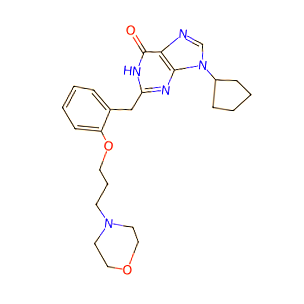 O=c1[nH]c(Cc2ccccc2OCCCN2CCOCC2)nc2c1ncn2C1CCCC1